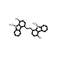 CCc1ccc(CCc2ccc(CC)c3c2c2ccccc2n3C)c2c1c1ccccc1n2C